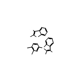 Cc1ccc(-n2c(Cl)c(C=O)c3ccccc32)cc1[N+](=O)[O-].O=Cc1c(Cl)[nH]c2ccccc12